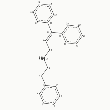 C(CNCCc1ccccc1)=C(c1ccccc1)c1ccccc1